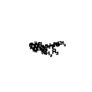 CO/N=C(\C)CCSc1nc(N)nc(-c2c(Cl)cc3c4c(cccc24)COC3)n1